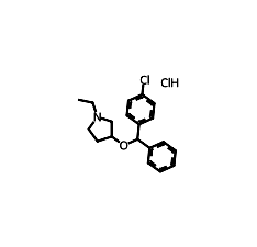 CCN1CCC(OC(c2ccccc2)c2ccc(Cl)cc2)C1.Cl